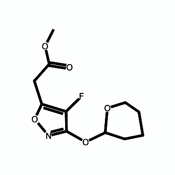 COC(=O)Cc1onc(OC2CCCCO2)c1F